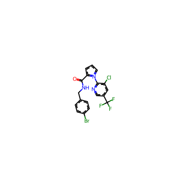 O=C(NCc1ccc(Br)cc1)c1cccn1-c1ncc(C(F)(F)F)cc1Cl